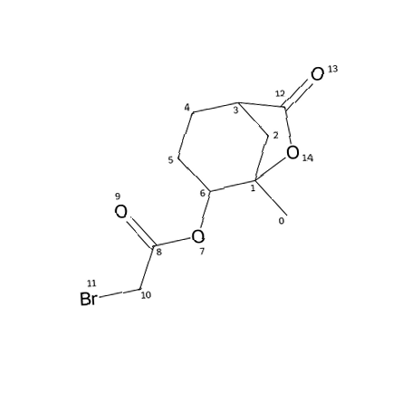 CC12CC(CCC1OC(=O)CBr)C(=O)O2